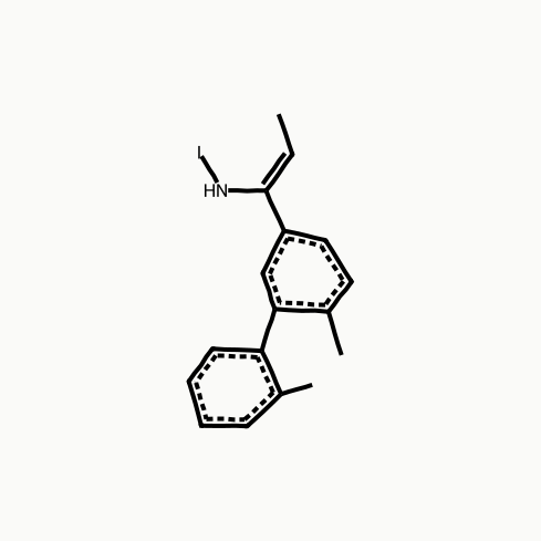 C/C=C(\NI)c1ccc(C)c(-c2ccccc2C)c1